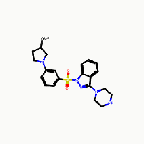 COC1CCN(c2cccc(S(=O)(=O)n3nc(N4CCNCC4)c4ccccc43)c2)C1